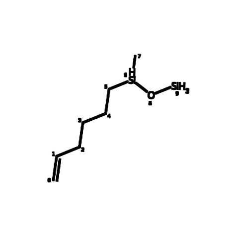 C=CCCCC[SiH](C)O[SiH3]